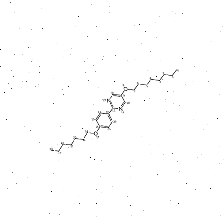 CCCCCCCCOc1cnc(-c2ccc(OCCCCCCC)cc2)nc1